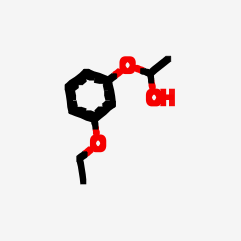 CCOc1cccc(OC(C)O)c1